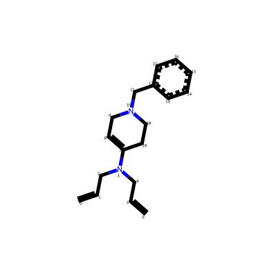 C=CCN(CC=C)C1=CCN(Cc2ccccc2)CC1